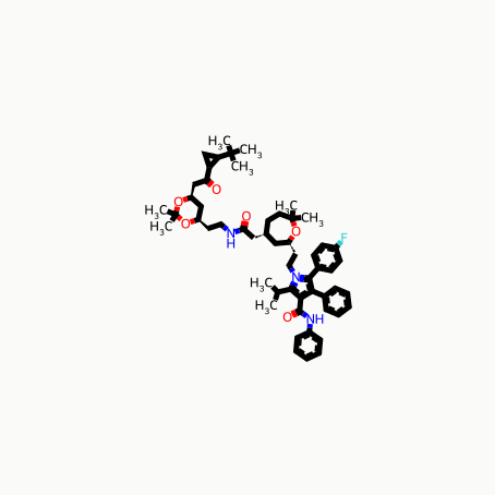 CC(C)c1c(C(=O)Nc2ccccc2)c(-c2ccccc2)c(-c2ccc(F)cc2)n1CC[C@@H]1C[C@H](CC(=O)NCC[C@@H]2C[C@H](CC(=O)C3CC3C(C)(C)C)OC(C)(C)O2)CCC(C)(C)O1